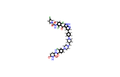 O=C1CC[C@@H](NC(=O)c2ccc(N3CCN(CC4CCN(c5ccc(-c6cnc7[nH]cc(C(=O)c8c(F)ccc(NS(=O)(=O)N9CC[C@@H](F)C9)c8F)c7c6)cc5)CC4)CC3)cc2F)C(=O)N1